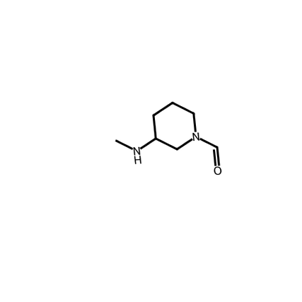 CNC1CCCN(C=O)C1